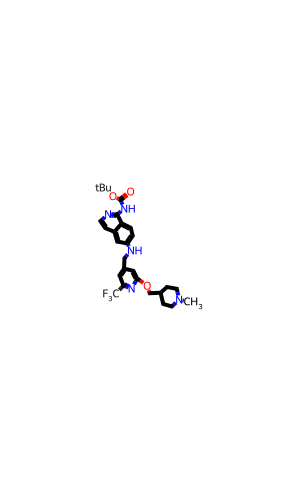 CN1CCC(COc2cc(CNc3ccc4c(NC(=O)OC(C)(C)C)nccc4c3)cc(C(F)(F)F)n2)CC1